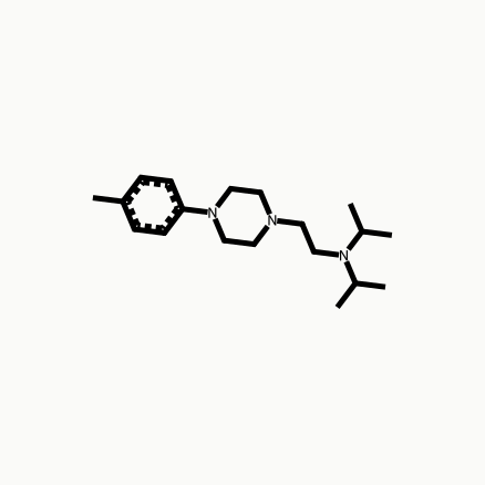 Cc1ccc(N2CCN(CCN(C(C)C)C(C)C)CC2)cc1